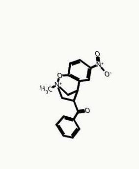 C[N+]12CC(C(=O)c3ccccc3)C(C1)c1cc([N+](=O)[O-])ccc1O2